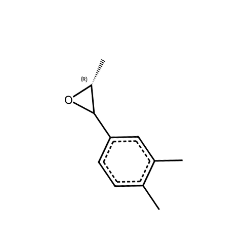 Cc1ccc(C2O[C@@H]2C)cc1C